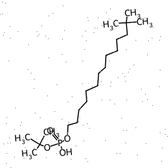 CC(C)(C)CCCCCCCCCCCCOP(=O)(O)OC(C)(C)C